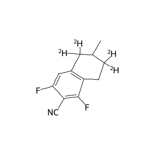 [2H]C1([2H])Cc2c(cc(F)c(C#N)c2F)C([2H])([2H])C1C